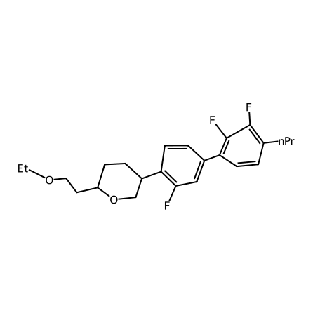 CCCc1ccc(-c2ccc(C3CCC(CCOCC)OC3)c(F)c2)c(F)c1F